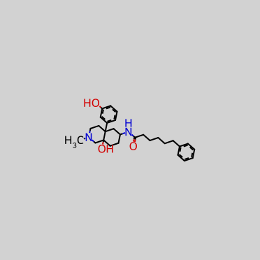 CN1CCC2(c3cccc(O)c3)CC(NC(=O)CCCCCc3ccccc3)CCC2(O)C1